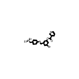 CCN(CC)Cc1ccc(N=Cc2cc(Br)cc(OC(=O)c3cccnc3)c2)cc1